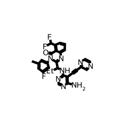 CCC(Nc1ncnc(N)c1C#Cc1cnccn1)c1nc2cccc(C(F)F)c2c(=O)n1-c1cc(C)cc(F)c1